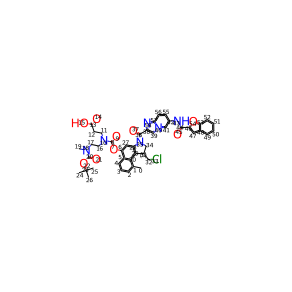 Cc1cccc2c(OC(=O)N(CCC(=O)O)CCN(C)C(=O)OC(C)(C)C)cc3c(c12)[C@H](CCl)CN3C(=O)c1cn2cc(NC(=O)c3cc4ccccc4o3)ccc2n1